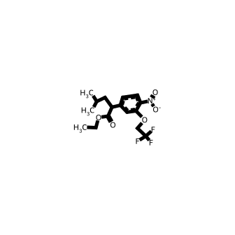 CCOC(=O)C(CC(C)C)c1ccc([N+](=O)[O-])c(OCC(F)(F)F)c1